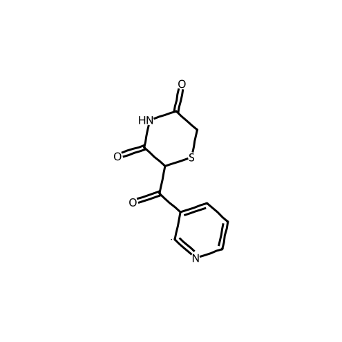 O=C1CSC(C(=O)c2[c]nccc2)C(=O)N1